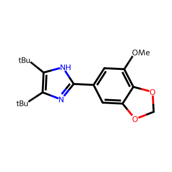 COc1cc(-c2nc(C(C)(C)C)c(C(C)(C)C)[nH]2)cc2c1OCO2